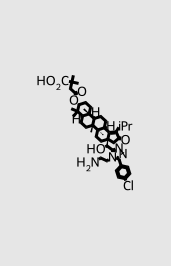 CC(C)C1=C2[C@H]3CC[C@@H]4[C@@]5(C)CC[C@H](OC(=O)CC(C)(C)C(=O)O)C(C)(C)[C@@H]5CC[C@@]4(C)[C@]3(C)CC[C@@]2(C(O)c2nnc(-c3ccc(Cl)cc3)n2CCN)CC1=O